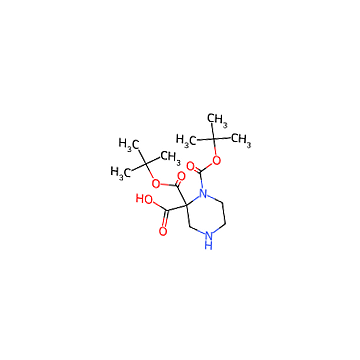 CC(C)(C)OC(=O)N1CCNCC1(C(=O)O)C(=O)OC(C)(C)C